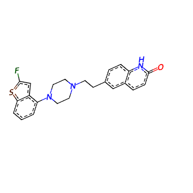 O=c1ccc2cc(CCN3CCN(c4cccc5sc(F)cc45)CC3)ccc2[nH]1